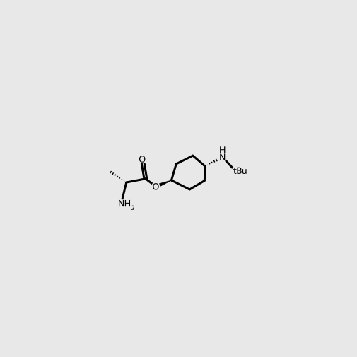 C[C@@H](N)C(=O)O[C@H]1CC[C@H](NC(C)(C)C)CC1